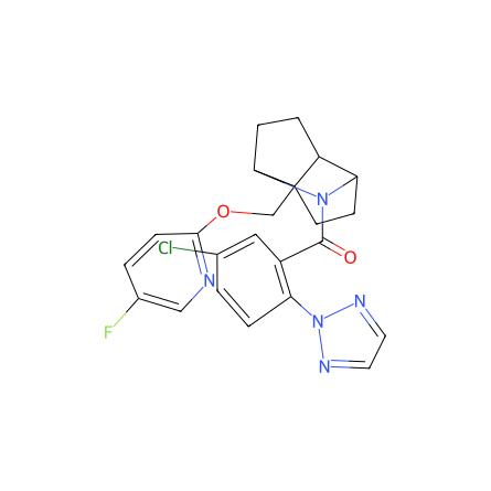 O=C(c1cc(Cl)ccc1-n1nccn1)N1C2CCC3(COc4ccc(F)cn4)C2CCC13